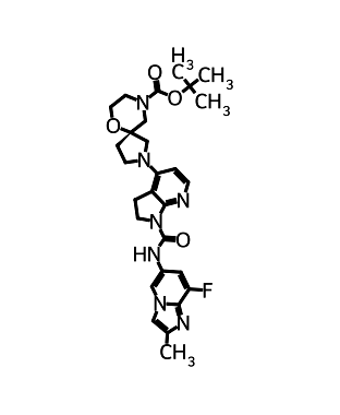 Cc1cn2cc(NC(=O)N3CCc4c(N5CC[C@@]6(CN(C(=O)OC(C)(C)C)CCO6)C5)ccnc43)cc(F)c2n1